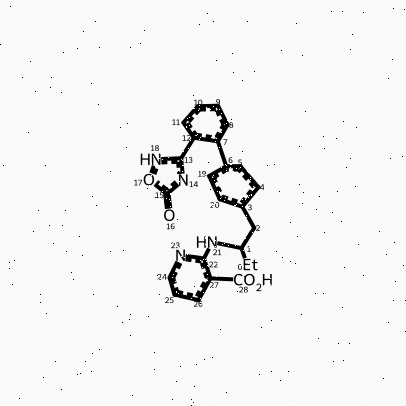 CCC(Cc1ccc(-c2ccccc2-c2nc(=O)o[nH]2)cc1)Nc1ncccc1C(=O)O